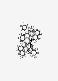 c1ccc2c(c1)-c1c(c3c4c5ccccc5ccc4n(-c4nc(-c5cccc6ccccc56)c5sc6ccccc6c5n4)c3c3ccccc13)C21CCCCC1